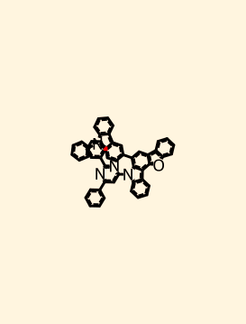 c1ccc(-c2cc(-n3c4ccccc4c4c5oc6ccccc6c5cc(-c5ccc6c(c5)c5ccccc5n6-c5ccccc5)c43)nc(-c3ccccc3)n2)cc1